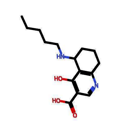 CCCCCNC1CCCc2ncc(C(=O)O)c(O)c21